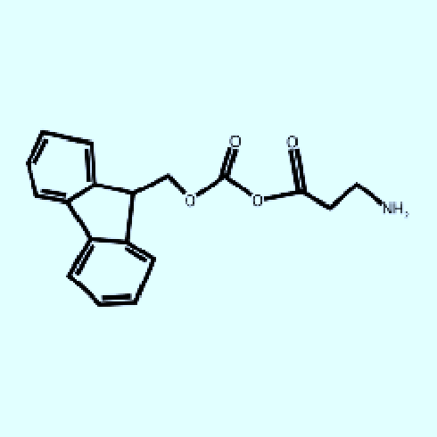 NCCC(=O)OC(=O)OCC1c2ccccc2-c2ccccc21